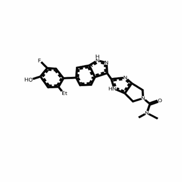 CCc1cc(O)c(F)cc1-c1ccc2c(-c3nc4c([nH]3)CN(C(=O)N(C)C)C4)n[nH]c2c1